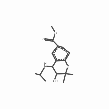 COC(=O)c1ccc2c(c1)C(NC(C)C)C(O)C(C)(C)O2